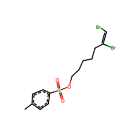 Cc1ccc(S(=O)(=O)OCCCCC/C(Br)=C\Br)cc1